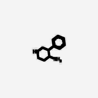 NC1CCNCC1c1ccccc1